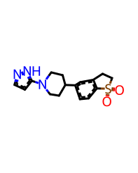 O=S1(=O)CCc2cc(C3CCN(c4ccn[nH]4)CC3)ccc21